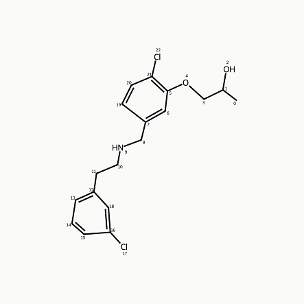 CC(O)COc1cc(CNCCc2cccc(Cl)c2)ccc1Cl